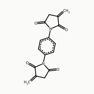 C=C1CC(=O)N(c2ccc(N3C(=O)CC(=C)C3=O)cc2)C1=O